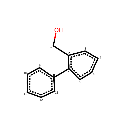 OCc1c[c]ccc1-c1ccccc1